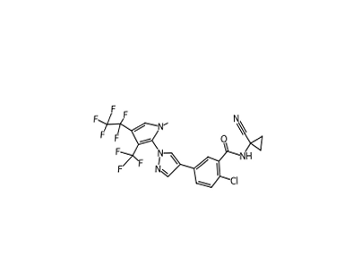 Cn1cc(C(F)(F)C(F)(F)F)c(C(F)(F)F)c1-n1cc(-c2ccc(Cl)c(C(=O)NC3(C#N)CC3)c2)cn1